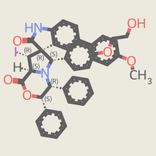 COc1ccc(-c2ccc3c(c2)[C@]2(C(=O)N3)[C@H](c3ccc(OCCO)cc3)N3[C@H](c4ccccc4)[C@H](c4ccccc4)OC(=O)[C@H]3[C@@H]2I)cc1